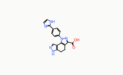 O=C(O)c1nn(-c2ccc(-c3ncc[nH]3)cc2)c2c1CCc1[nH]ncc1-2